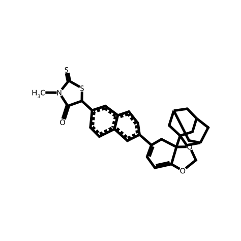 CN1C(=O)C(c2ccc3cc(C4=CC=C5OCOC5(C56CC7CC(CC(C7)C5)C6)C4)ccc3c2)SC1=S